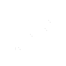 Cn1nccc1N1CCNCC1